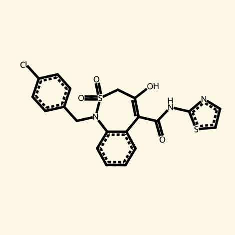 O=C(Nc1nccs1)C1=C(O)CS(=O)(=O)N(Cc2ccc(Cl)cc2)c2ccccc21